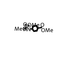 COC(=O)c1ccc(NP(=O)(OC)OC)cc1